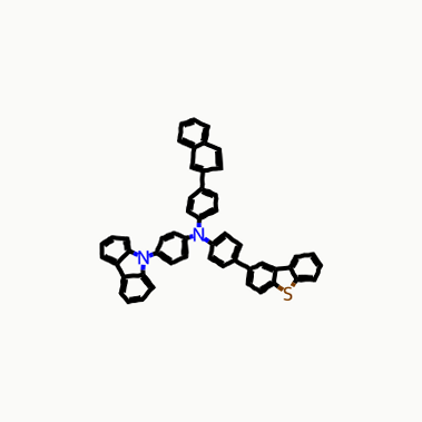 c1ccc2cc(-c3ccc(N(c4ccc(-c5ccc6sc7ccccc7c6c5)cc4)c4ccc(-n5c6ccccc6c6ccccc65)cc4)cc3)ccc2c1